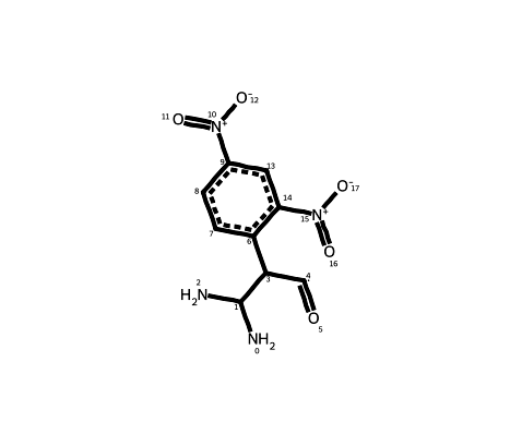 NC(N)C([C]=O)c1ccc([N+](=O)[O-])cc1[N+](=O)[O-]